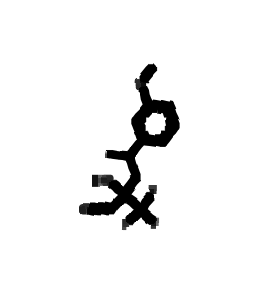 COc1cccc(C(C)CC(O)(C=O)C(F)(F)F)c1